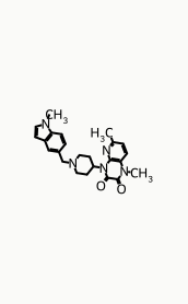 Cc1ccc2c(n1)n(C1CCN(Cc3ccc4c(ccn4C)c3)CC1)c(=O)c(=O)n2C